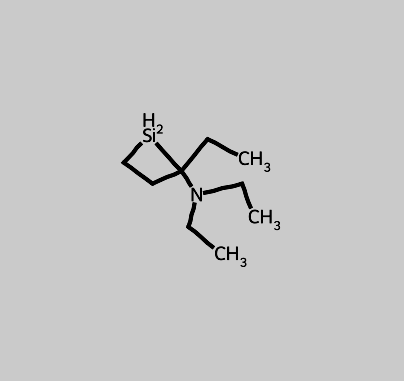 CCN(CC)C1(CC)CC[SiH2]1